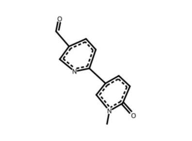 Cn1cc(-c2ccc(C=O)cn2)ccc1=O